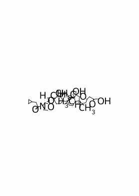 C[C@@H]1CC(CC(=O)CO)OC2[C@H]1[C@@]1(C)CCC34C[C@@]35CC[C@H](O[C@H]3CN(C(=O)CC6CC6)CCO3)C(C)(C)[C@@H]5CCC4[C@]1(C)[C@H]2O